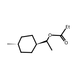 CCC(=O)OC(C)[C@H]1CC[C@H](C)CC1